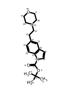 CC(C)(C)OC(=O)n1ccc2cc(CCN3CCOCC3)ccc21